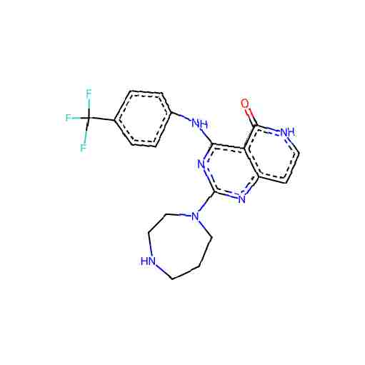 O=c1[nH]ccc2nc(N3CCCNCC3)nc(Nc3ccc(C(F)(F)F)cc3)c12